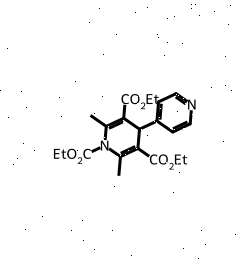 CCOC(=O)C1=C(C)N(C(=O)OCC)C(C)=C(C(=O)OCC)C1c1ccncc1